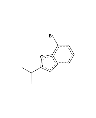 CC(C)c1cc2cccc(Br)c2o1